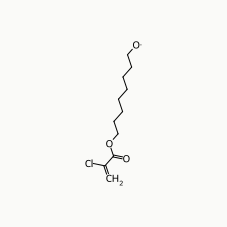 C=C(Cl)C(=O)OCCCCCCCC[O]